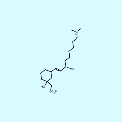 CCOC(=O)CC1(O)CCCC(C=CC(CCCCCO[SiH](C)C)C(C)(C)C)C1